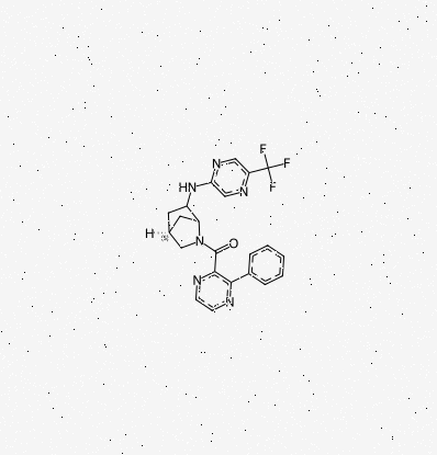 O=C(c1nccnc1-c1ccccc1)N1C[C@H]2CC(Nc3cnc(C(F)(F)F)cn3)C1C2